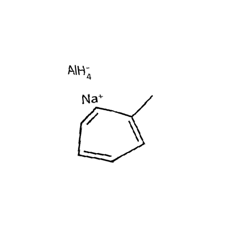 Cc1ccccc1.[AlH4-].[Na+]